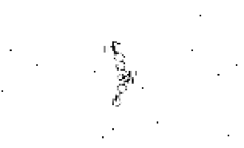 CCN[C@H]1CCc2cc(NS(=O)(=O)c3ccc(N4CCCC4)cc3)ccc2C1